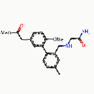 COC(=O)Cc1ccc(OC)c(-c2ccc(C)cc2CNCC(N)=O)c1